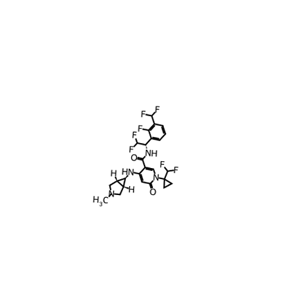 CN1C[C@@H]2[C@H](C1)[C@H]2Nc1cc(=O)n(C2(C(F)F)CC2)cc1C(=O)N[C@@H](c1cccc(C(F)F)c1F)C(F)F